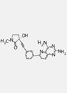 CN1CC[C@@](O)(C#Cc2cccc(-c3ccc4nc(N)nc(N)c4n3)c2)C1=O